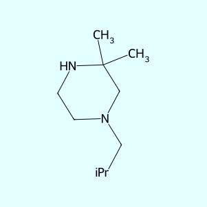 CC(C)CN1CCNC(C)(C)C1